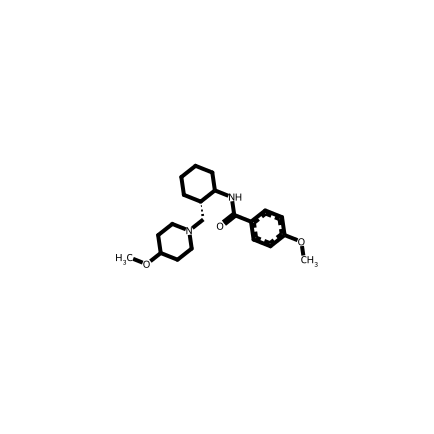 COc1ccc(C(=O)NC2CCCC[C@H]2CN2CCC(OC)CC2)cc1